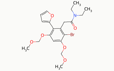 CCN(CC)C(=O)Cc1c(Br)c(OCOC)cc(OCOC)c1-c1ccco1